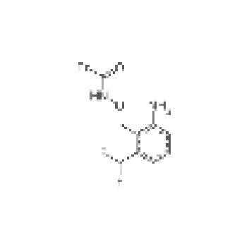 CCC(=O)NOCc1c(N)cccc1C(F)F